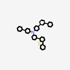 C1=CC(c2ccccc2)=CC(c2ccc(N(c3ccc(-c4ccccc4)cc3)c3cccc(-c4cccc5c4sc4ccccc45)c3)cc2)C1